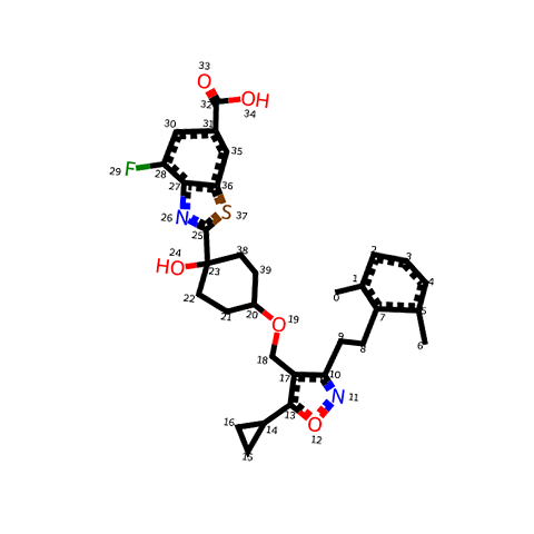 Cc1cccc(C)c1CCc1noc(C2CC2)c1COC1CCC(O)(c2nc3c(F)cc(C(=O)O)cc3s2)CC1